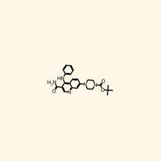 CC(C)(C)OC(=O)N1CCN(c2ccc3c(Nc4ccccc4)c(C(N)=O)cnc3c2)CC1